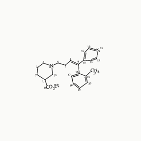 CCOC(=O)C1CCCN(CCC=C(c2ccncc2)c2ccccc2C)C1